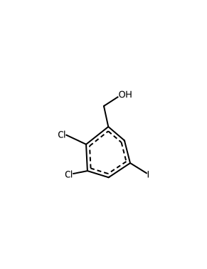 OCc1cc(I)cc(Cl)c1Cl